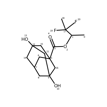 CC(OC(=O)C12CC3CC(O)(CC(O)(C3)C1)C2)C(C)(F)F